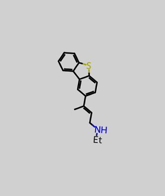 CCNCC=C(C)c1ccc2sc3ccccc3c2c1